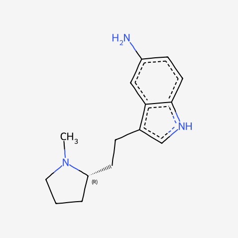 CN1CCC[C@H]1CCc1c[nH]c2ccc(N)cc12